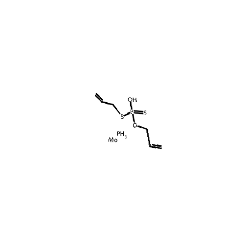 C=CCOP(O)(=S)SCC=C.P.[Mo]